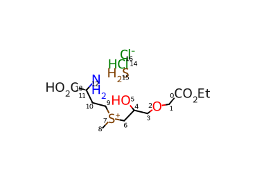 CCOC(=O)COCC(O)C[S+](C)CC[C@H](N)C(=O)O.Cl.S.[Cl-]